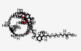 CCCCOC1C(OCCCC)[C@H]2C=C[C@@H]1C(=O)NCCN(CCNC(=O)[C@H]1CCC=C(C(=O)NCCOCCOCCNC(=O)OC(C)(C)C)C1OCCCC)CCN1CCNC(=O)[C@@H]3C=CC(C(O)NCCN(CCNC2=O)CCN[C@@H](O)[C@H]2C=C[C@H](C(OCCCC)C2OCCCC)[C@@H](O)NCC1)[C@H](OCCCC)C3OCCCC